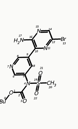 CC(C)(C)OC(=O)N(c1cncc(-c2nc(Br)cnc2N)c1)S(C)(=O)=O